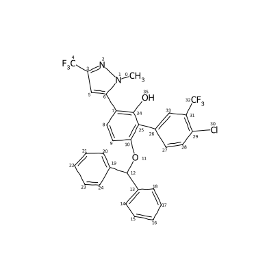 Cn1nc(C(F)(F)F)cc1-c1ccc(OC(c2ccccc2)c2ccccc2)c(-c2ccc(Cl)c(C(F)(F)F)c2)c1O